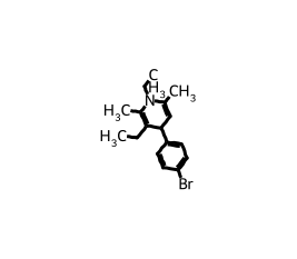 CCC1=C(C)N(CC)C(C)=CC1c1ccc(Br)cc1